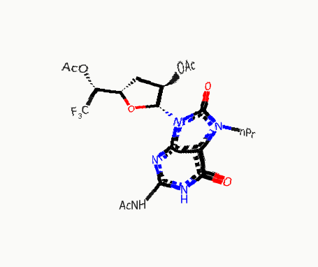 CCCn1c(=O)n([C@@H]2O[C@H]([C@@H](OC(C)=O)C(F)(F)F)C[C@H]2OC(C)=O)c2nc(NC(C)=O)[nH]c(=O)c21